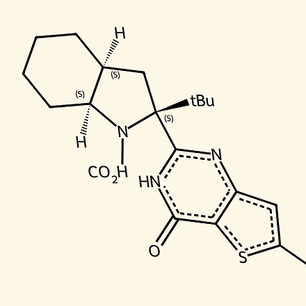 CC(C)(C)[C@]1(c2nc3cc(Br)sc3c(=O)[nH]2)C[C@@H]2CCCC[C@@H]2N1C(=O)O